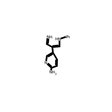 CC(C)N/C=C(\C=N)c1ccc(N)nc1